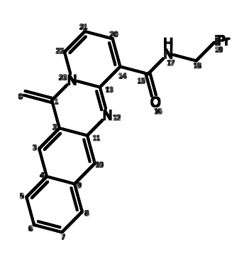 C=C1c2cc3ccccc3cc2N=C2C(C(=O)NCC(C)C)=CC=CN12